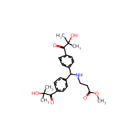 COC(=O)CCNC(c1ccc(C(=O)C(C)(C)O)cc1)c1ccc(C(=O)C(C)(C)O)cc1